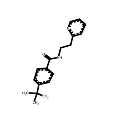 CC(C)(C)c1ccc(C(=O)NCCc2ccccn2)cc1